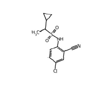 CC(C1CC1)S(=O)(=O)Nc1c[c]c(Cl)cc1C#N